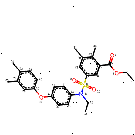 CCOC(=O)c1cc(S(=O)(=O)N(CC)c2ccc(Oc3ccc(C)c(C)c3)cc2)cc(C)c1C